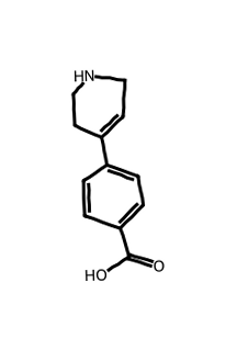 O=C(O)c1ccc(C2=CCNCC2)cc1